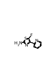 Nc1nc(-c2ccccn2)c(F)s1